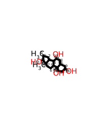 C[C@@H]1CC2C3C(CC[C@]2(C)[C@H]1O)[C@@]1(CO)CC[C@@H](O)CC1=C[C@@H]3O